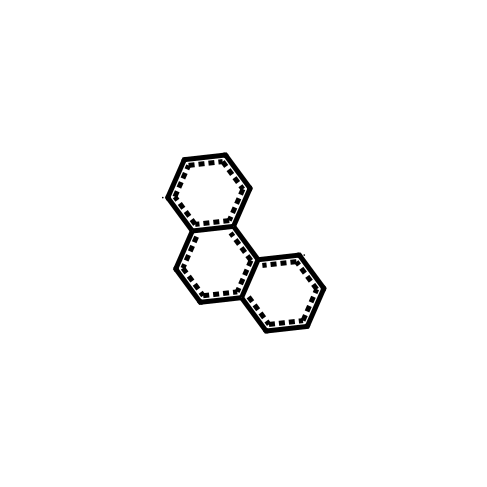 [c]1cccc2c1ccc1ccc[c]c12